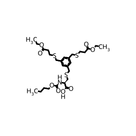 CCCCOC(=O)N[C@@H](CSCc1cc(CSCCC(=O)OCC)cc(CSCCC(=O)OCC)c1)C(=O)O